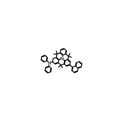 CC1(C)C2=CC(N(c3ccccc3)c3ccccc3)CC3=C2N2c4c1cc(-c1cccc5ccccc15)cc4C(C)(C)c1cccc(c12)C3(C)C